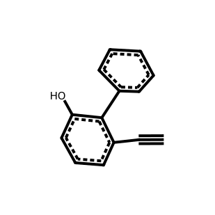 C#Cc1cccc(O)c1-c1ccccc1